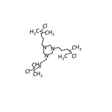 CS(C)(Cl)CCCN1CN(CCCS(C)(C)Cl)CN(CCCS(C)(C)Cl)C1